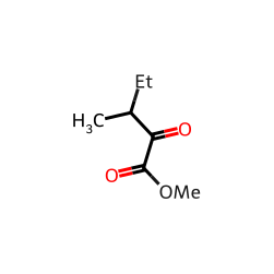 CCC(C)C(=O)C(=O)OC